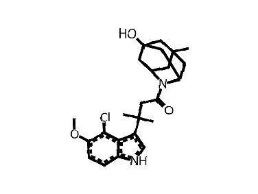 COc1ccc2[nH]cc(C(C)(C)CC(=O)N3C4CC5(C)CC3CC(O)(C4)C5)c2c1Cl